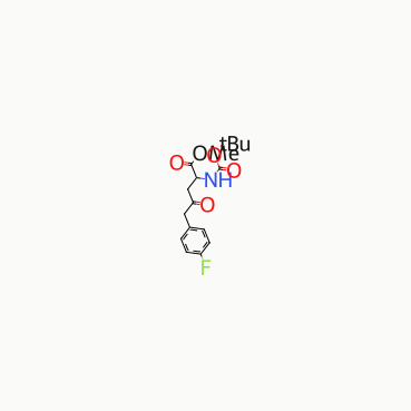 COC(=O)C(CC(=O)Cc1ccc(F)cc1)NC(=O)OC(C)(C)C